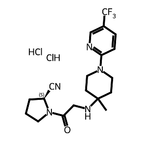 CC1(NCC(=O)N2CCC[C@H]2C#N)CCN(c2ccc(C(F)(F)F)cn2)CC1.Cl.Cl